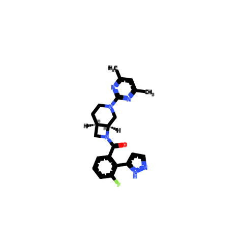 Cc1cc(C)nc(N2CC[C@@H]3CN(C(=O)c4cccc(F)c4-c4ccn[nH]4)[C@@H]3C2)n1